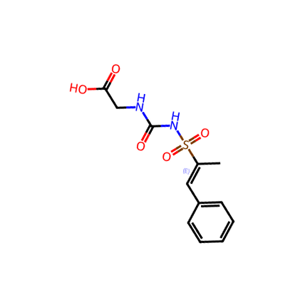 C/C(=C\c1ccccc1)S(=O)(=O)NC(=O)NCC(=O)O